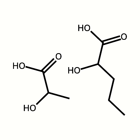 CC(O)C(=O)O.CCCC(O)C(=O)O